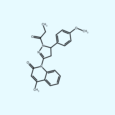 CCC(=O)N1N=C(n2c(=O)cc(C)c3ccccc32)CC1c1ccc(OC)cc1